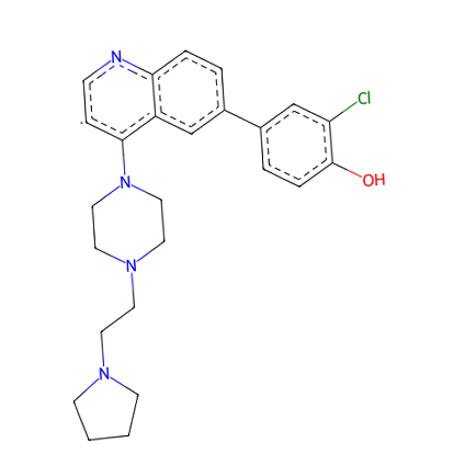 Oc1ccc(-c2ccc3nc[c]c(N4CCN(CCN5CCCC5)CC4)c3c2)cc1Cl